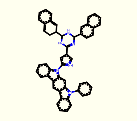 C1=c2ccccc2=CC(C2NC(c3c[nH]c(-n4c5ccccc5c5cc6c7ccccc7n(-c7ccccc7)c6cc54)c3)=NC(c3ccc4ccccc4c3)N2)C1